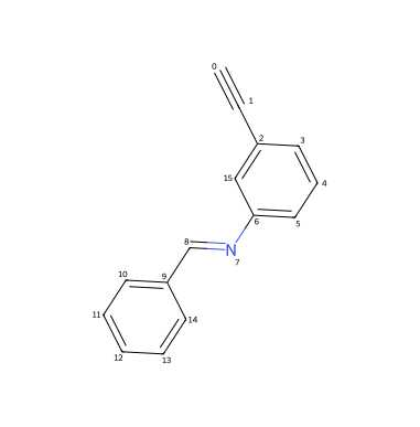 C#Cc1cccc(N=Cc2ccccc2)c1